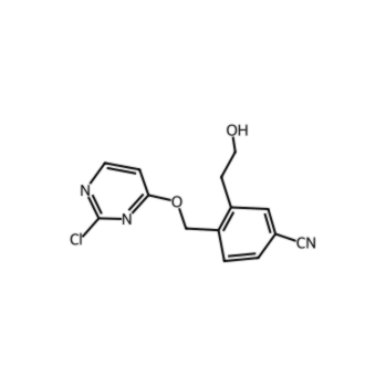 N#Cc1ccc(COc2ccnc(Cl)n2)c(CCO)c1